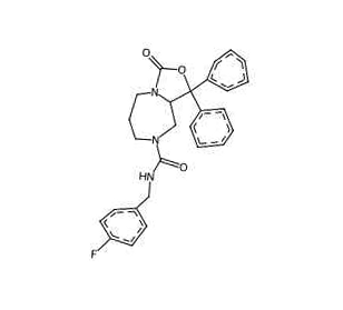 O=C(NCc1ccc(F)cc1)N1CCCN2C(=O)OC(c3ccccc3)(c3ccccc3)C2C1